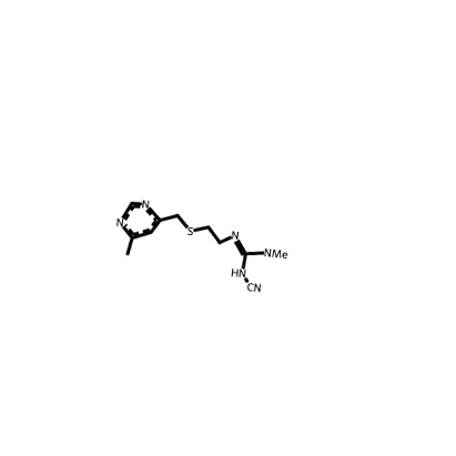 CNC(=NCCSCc1cc(C)ncn1)NC#N